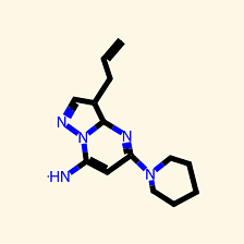 C=CCC1C=NN2C([NH])=CC(N3CCCCC3)=NC12